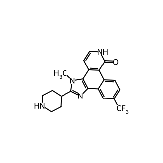 Cn1c(C2CCNCC2)nc2c3cc(C(F)(F)F)ccc3c3c(=O)[nH]ccc3c21